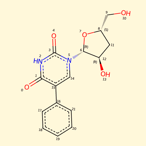 O=c1[nH]c(=O)n([C@@H]2O[C@H](CO)C[C@H]2O)cc1-c1ccccc1